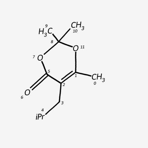 CC1=C(CC(C)C)C(=O)OC(C)(C)O1